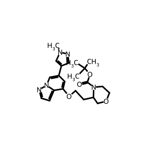 Cn1cc(-c2cc(OCCC3COCCN3C(=O)OC(C)(C)C)c3ccnn3c2)cn1